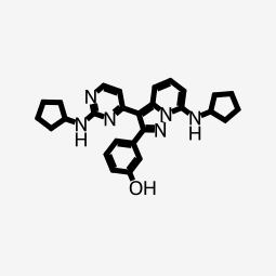 Oc1cccc(-c2nn3c(NC4CCCC4)cccc3c2-c2ccnc(NC3CCCC3)n2)c1